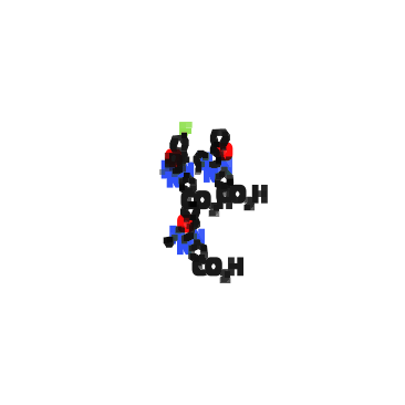 CC(C)N(C)c1nc2cc(C(=O)O)ccc2nc1-c1cc2cc(F)ccc2o1.CC1CCCN1c1nc2cc(C(=O)O)ccc2nc1-c1cc2ccccc2o1.CN(c1nc2cc(C(=O)O)ccc2nc1-c1cc2ccccc2o1)C1CC1